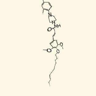 CCCCCCCCCCOc1c(OC)cc(C=CC(=O)NN2CCN(c3ccc(C)cc3C)CC2)cc1OC